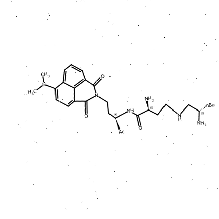 CCCC[C@H](N)CNCC[C@H](N)C(=O)N[C@H](CCN1C(=O)c2cccc3c(N(C)C)ccc(c23)C1=O)C(C)=O